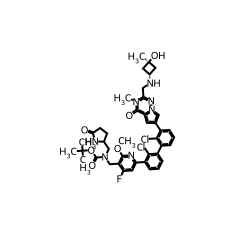 COc1nc(-c2cccc(-c3cccc(-c4cc5c(=O)n(C)c(CN[C@H]6C[C@](C)(O)C6)nn5c4)c3Cl)c2Cl)cc(F)c1CN(CC1CCC(=O)N1)C(=O)OC(C)(C)C